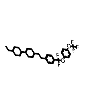 CCC1CCC(C2CCC(CCc3ccc(C(F)(F)Oc4ccc(OC(F)(F)F)cc4)cc3)CC2)CC1